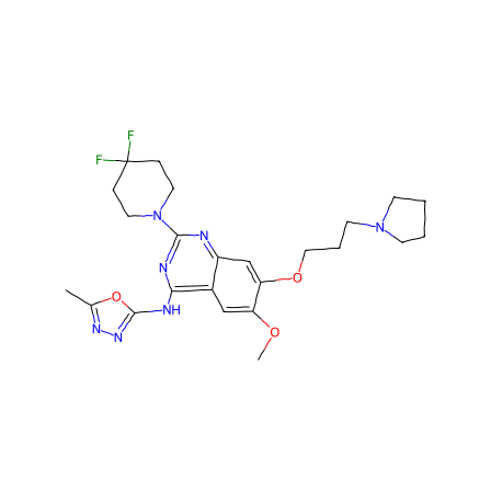 COc1cc2c(Nc3nnc(C)o3)nc(N3CCC(F)(F)CC3)nc2cc1OCCCN1CCCC1